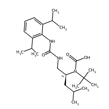 CC(C)C[C@@H](CNC(=O)Nc1c(C(C)C)cccc1C(C)C)N(C(=O)O)C(C)(C)C